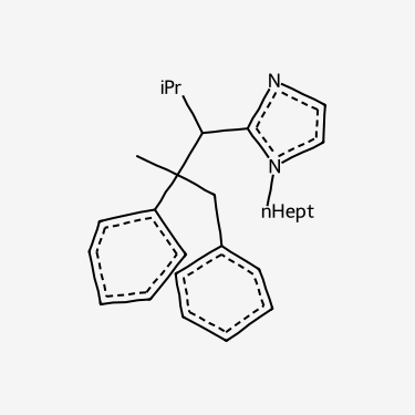 CCCCCCCn1ccnc1C(C(C)C)C(C)(Cc1ccccc1)c1ccccc1